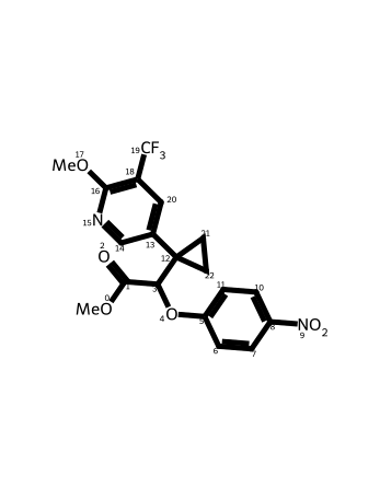 COC(=O)C(Oc1ccc([N+](=O)[O-])cc1)C1(c2cnc(OC)c(C(F)(F)F)c2)CC1